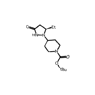 CC[C@@H]1CC(=O)NN1C1CCN(C(=O)OC(C)(C)C)CC1